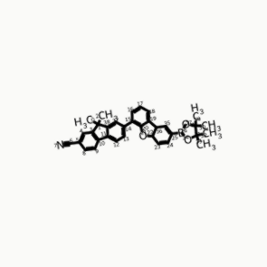 CC1(C)c2cc(C#N)ccc2-c2ccc(-c3cccc4c3OC3C=CC(B5OC(C)(C)C(C)(C)O5)=CC43)cc21